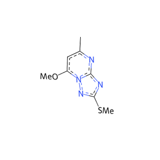 COc1cc(C)nc2nc(SC)nn12